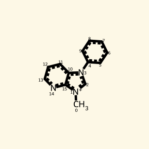 C[n+]1cn(-c2ccccc2)c2cccnc21